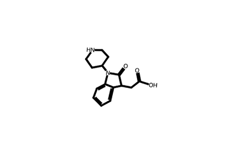 O=C(O)CC1C(=O)N(C2CCNCC2)c2ccccc21